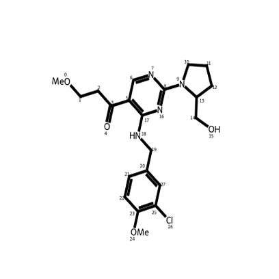 COCCC(=O)c1cnc(N2CCCC2CO)nc1NCc1ccc(OC)c(Cl)c1